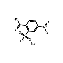 O=C(O)c1ccc([N+](=O)[O-])cc1S(=O)(=O)[O-].[Na+]